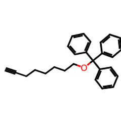 C#CCCCCCCOC(c1ccccc1)(c1ccccc1)c1ccccc1